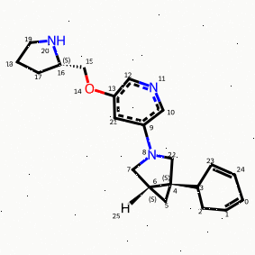 C1=CCC([C@@]23C[C@@H]2CN(c2cncc(OC[C@@H]4CCCN4)c2)C3)C=C1